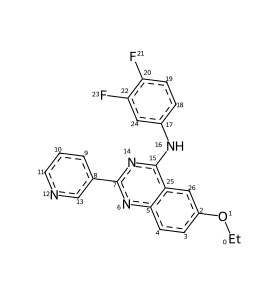 CCOc1ccc2nc(-c3cccnc3)nc(Nc3ccc(F)c(F)c3)c2c1